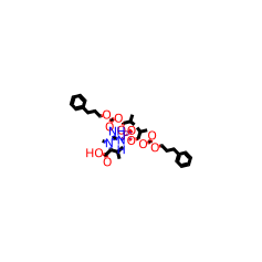 CC(C)C(OC(=O)OCCCc1ccccc1)OP(=O)(NC(=N)N(C)C(C(=O)O)C(C)C)OC(OC(=O)OCCCc1ccccc1)C(C)C